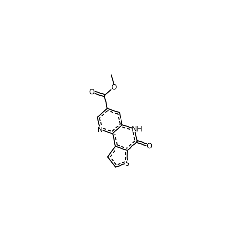 COC(=O)c1cnc2c(c1)[nH]c(=O)c1sccc12